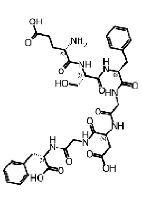 N[C@@H](CCC(=O)O)C(=O)N[C@@H](CO)C(=O)N[C@@H](Cc1ccccc1)C(=O)NCC(=O)N[C@@H](CC(=O)O)C(=O)NCC(=O)N[C@@H](Cc1ccccc1)C(=O)O